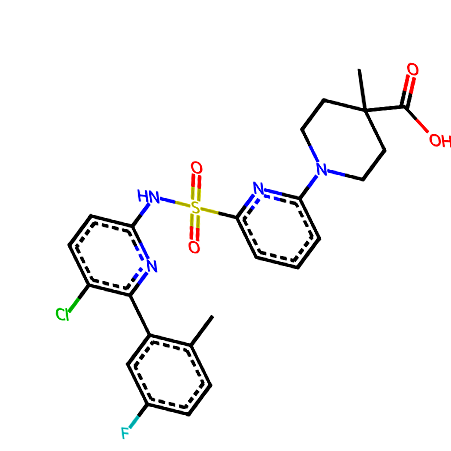 Cc1ccc(F)cc1-c1nc(NS(=O)(=O)c2cccc(N3CCC(C)(C(=O)O)CC3)n2)ccc1Cl